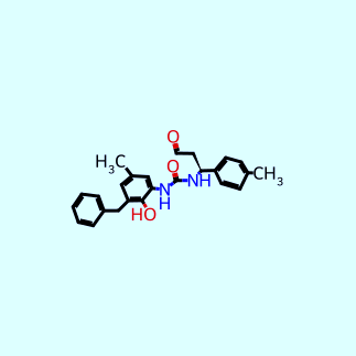 Cc1ccc([C@H](CC=O)NC(=O)Nc2cc(C)cc(Cc3ccccc3)c2O)cc1